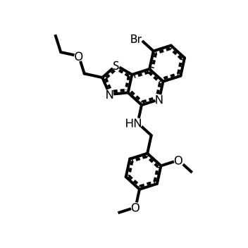 CCOCc1nc2c(NCc3ccc(OC)cc3OC)nc3cccc(Br)c3c2s1